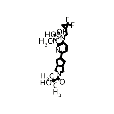 CN1c2nc(C3=CC4CN(C(=O)C(C)(C)O)CC4C3)ccc2N(CC2CC2(F)F)S1(O)O